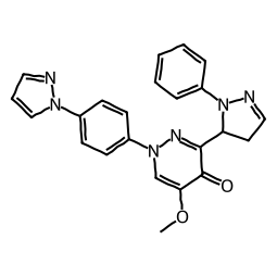 COc1cn(-c2ccc(-n3cccn3)cc2)nc(C2CC=NN2c2ccccc2)c1=O